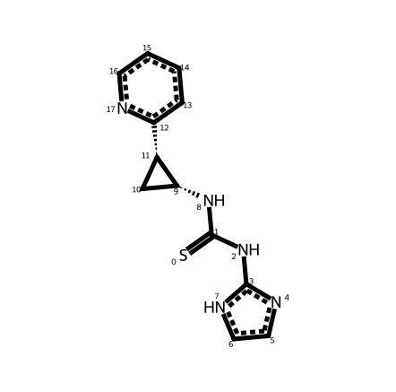 S=C(Nc1ncc[nH]1)N[C@@H]1C[C@@H]1c1ccccn1